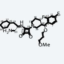 COCCCO[C@@H](c1ccc(F)cc1F)[C@@H]1CCCN(c2c(N[C@H](CN)CC3CCCCC3)c(=O)c2=O)C1